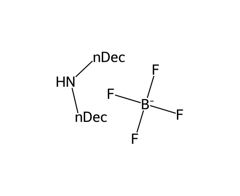 CCCCCCCCCCNCCCCCCCCCC.F[B-](F)(F)F